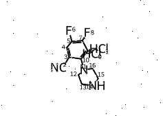 Cl.Cl.N#Cc1cc(F)c(F)cc1N1CCNCC1